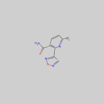 NC(=O)c1ccc(C(F)(F)F)nc1-c1cnon1